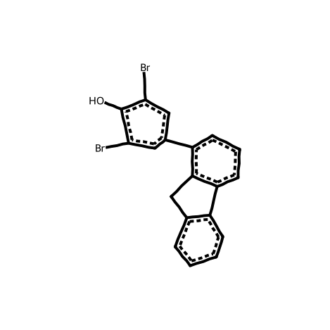 Oc1c(Br)cc(-c2cccc3c2Cc2ccccc2-3)cc1Br